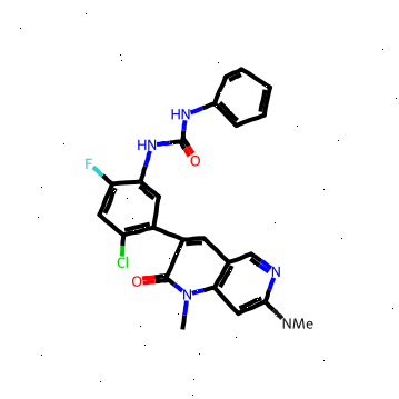 CNc1cc2c(cn1)cc(-c1cc(NC(=O)Nc3ccccc3)c(F)cc1Cl)c(=O)n2C